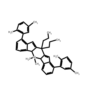 CCCC1(CCC)C2=Cc3c(-c4cc(C)ccc4C)cccc3[CH]2[Hf]([CH3])([CH3])[CH]2C1=Cc1c(-c3cc(C)ccc3C)cccc12